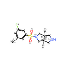 N#Cc1cc(F)cc(S(=O)(=O)N2C[C@H]3CNC[C@H]3C2)c1